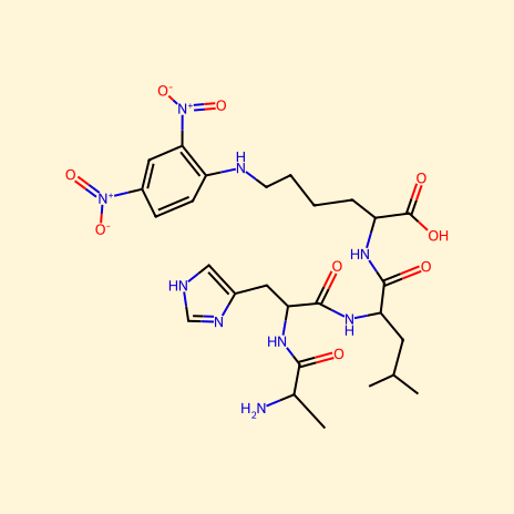 CC(C)CC(NC(=O)C(Cc1c[nH]cn1)NC(=O)C(C)N)C(=O)NC(CCCCNc1ccc([N+](=O)[O-])cc1[N+](=O)[O-])C(=O)O